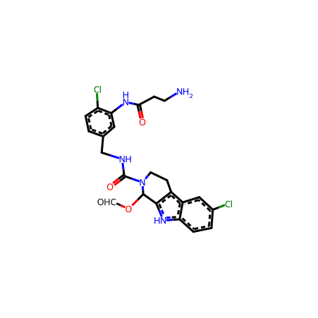 NCCC(=O)Nc1cc(CNC(=O)N2CCc3c([nH]c4ccc(Cl)cc34)C2OC=O)ccc1Cl